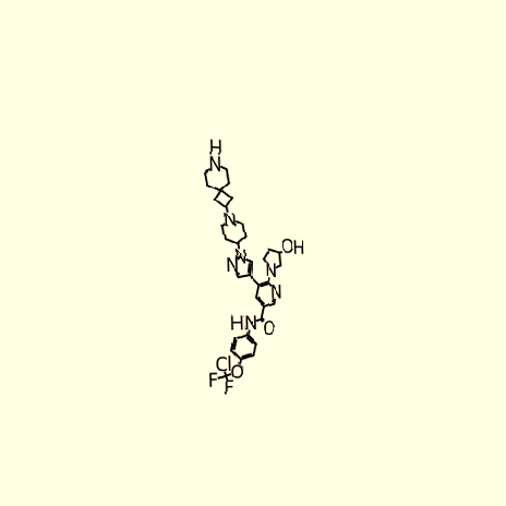 O=C(Nc1ccc(OC(F)(F)Cl)cc1)c1cnc(N2CC[C@@H](O)C2)c(-c2cnn(C3CCN(C4CC5(CCNCC5)C4)CC3)c2)c1